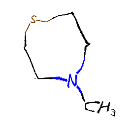 CN1[CH]CSCC1